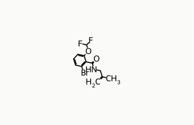 C=C(C)CNC(=O)c1c(Br)cccc1OC(F)F